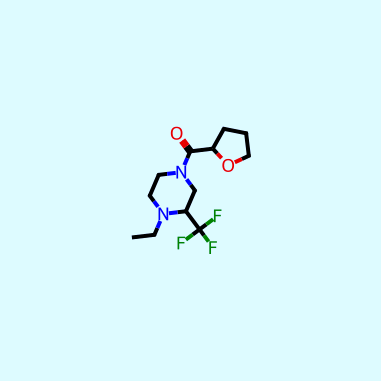 CCN1CCN(C(=O)C2CCCO2)CC1C(F)(F)F